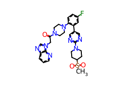 CS(=O)(=O)C1CCN(c2ncc(-c3cc(F)ccc3N3CCN(C(=O)Cn4cnc5cccnc54)CC3)cn2)CC1